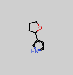 c1cc(C2CCCO2)c[nH]1